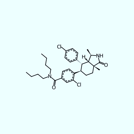 CCCCN(CCCC)C(=O)c1ccc([C@@H]2CC[C@@]3(C)C(=O)N[C@H](C)[C@H]3[C@H]2c2ccc(Cl)cc2)c(Cl)c1